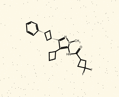 Cn1nc([C@H]2C[C@@H](c3ccccc3)C2)c(C2CCC2)c1NC(=O)C1CC(F)(F)C1